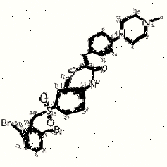 CN1CCN(c2ccc(/C=C3/Sc4cc(S(=O)(=O)Cc5c(Br)cccc5Br)ccc4NC3=O)cc2)CC1